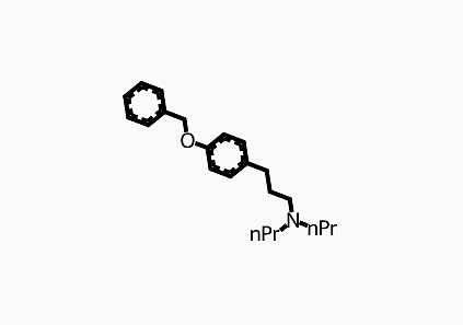 CCCN(CCC)CCCc1ccc(OCc2ccccc2)cc1